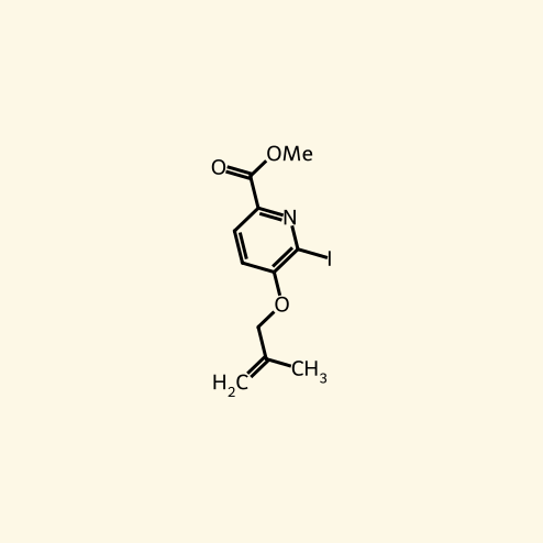 C=C(C)COc1ccc(C(=O)OC)nc1I